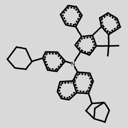 CC1(C)c2ccccc2-c2c(-c3ccccc3)cc(N(c3ccc(C4CCCCC4)cc3)c3ccc(C4CC5CCC4C5)c4ccccc34)cc21